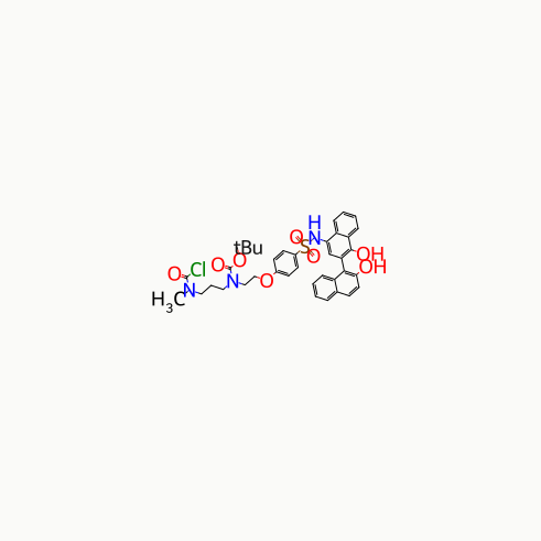 CN(CCCN(CCOc1ccc(S(=O)(=O)Nc2cc(-c3c(O)ccc4ccccc34)c(O)c3ccccc23)cc1)C(=O)OC(C)(C)C)C(=O)Cl